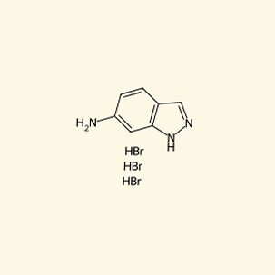 Br.Br.Br.Nc1ccc2cn[nH]c2c1